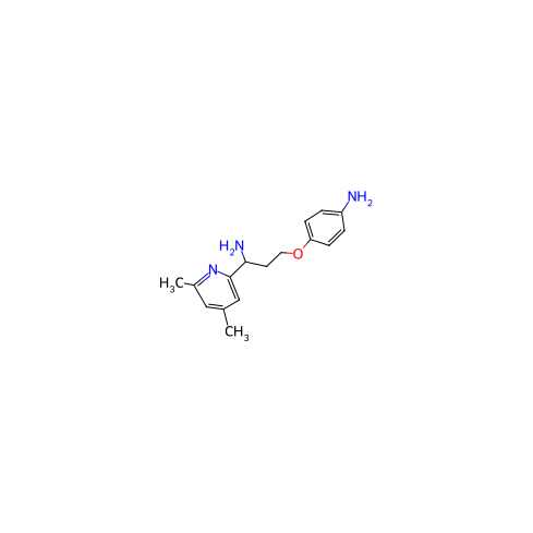 Cc1cc(C)nc(C(N)CCOc2ccc(N)cc2)c1